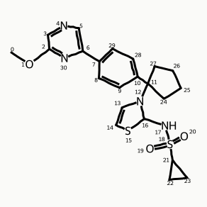 COc1cncc(-c2ccc(C3(N4C=CSC4NS(=O)(=O)C4CC4)CCCC3)cc2)n1